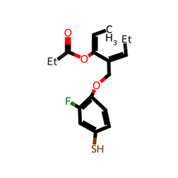 C/C=C(OC(=O)CC)\C(=C/CC)COc1ccc(S)cc1F